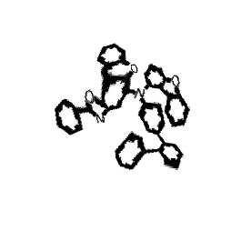 c1ccc(-c2nc3cc(N(c4ccc(-c5ccccc5-c5ccccc5)cc4)c4cccc5oc6ccccc6c45)c4oc5ccccc5c4c3o2)cc1